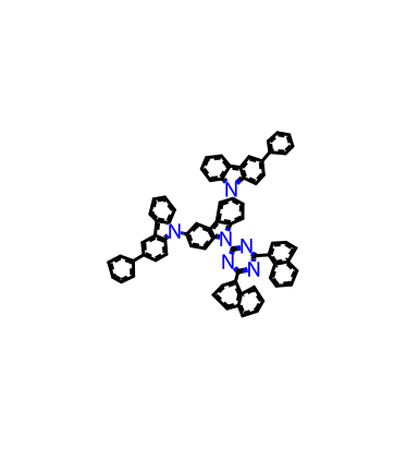 c1ccc(-c2ccc3c(c2)c2ccccc2n3-c2ccc3c(c2)c2cc(-n4c5ccccc5c5cc(-c6ccccc6)ccc54)ccc2n3-c2nc(-c3cccc4ccccc34)nc(-c3cccc4ccccc34)n2)cc1